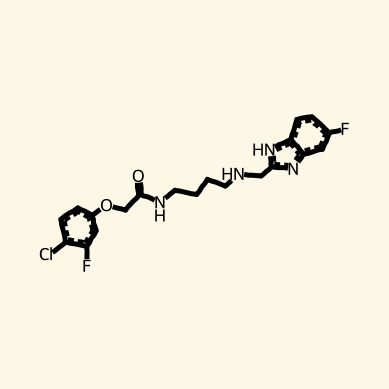 O=C(COc1ccc(Cl)c(F)c1)NCCCCNCc1nc2cc(F)ccc2[nH]1